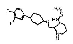 CSNC1CCCNC1COC1CCC(c2ccc(F)c(F)c2)CC1